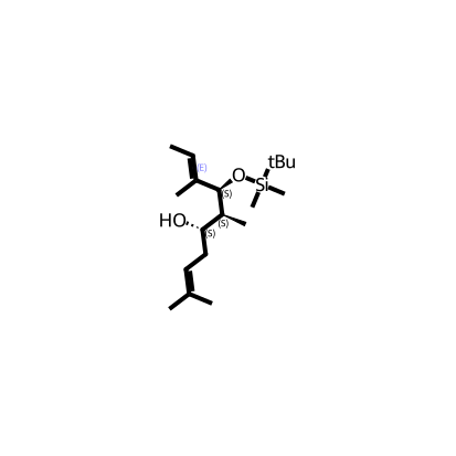 C/C=C(\C)[C@@H](O[Si](C)(C)C(C)(C)C)[C@@H](C)[C@@H](O)CC=C(C)C